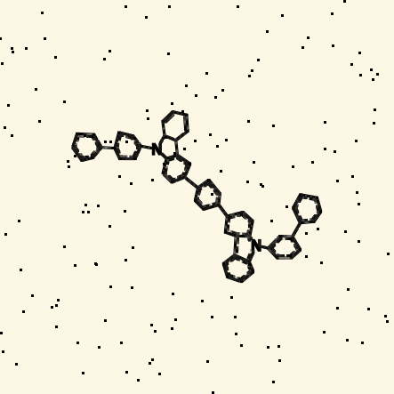 C1=CC2c3cc(-c4ccc(-c5ccc6c(c5)c5ccccc5n6-c5cccc(-c6ccccc6)c5)cc4)ccc3N(c3ccc(-c4ccccc4)cc3)C2C=C1